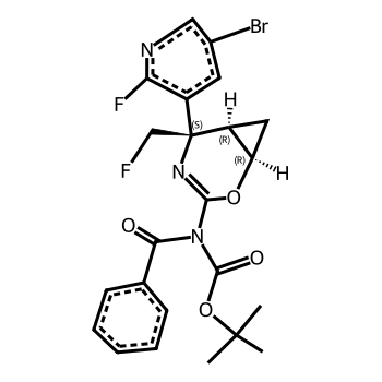 CC(C)(C)OC(=O)N(C(=O)c1ccccc1)C1=N[C@](CF)(c2cc(Br)cnc2F)[C@H]2C[C@H]2O1